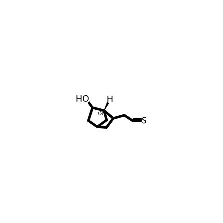 OC1CC2CC(CC=S)[C@@H]1C2